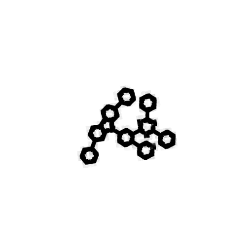 c1ccc(-c2ccc3c4ccc(-c5ccccc5)cc4n(-c4ccc(-c5cccnc5)c(-c5nc(-c6ccccc6)nc(-c6ccccc6)n5)c4)c3c2)cc1